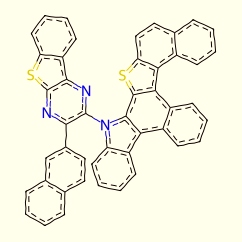 c1ccc2cc(-c3nc4sc5ccccc5c4nc3-n3c4ccccc4c4c5ccccc5c5c(sc6ccc7ccccc7c65)c43)ccc2c1